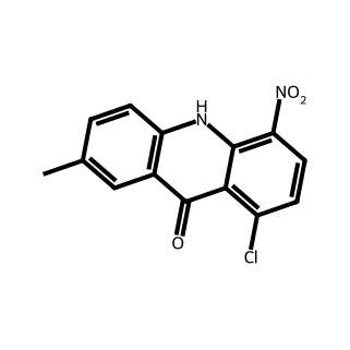 Cc1ccc2[nH]c3c([N+](=O)[O-])ccc(Cl)c3c(=O)c2c1